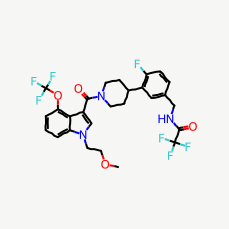 COCCn1cc(C(=O)N2CCC(c3cc(CNC(=O)C(F)(F)F)ccc3F)CC2)c2c(OC(F)(F)F)cccc21